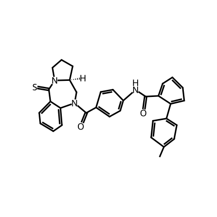 Cc1ccc(-c2ccccc2C(=O)Nc2ccc(C(=O)N3C[C@@H]4CCCN4C(=S)c4ccccc43)cc2)cc1